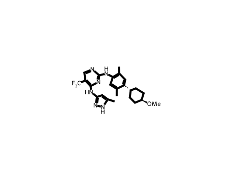 CO[C@H]1CC[C@H](c2cc(C)c(Nc3ncc(C(F)(F)F)c(Nc4cc(C)[nH]n4)n3)cc2C)CC1